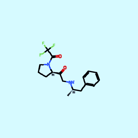 C[C@@H](Cc1ccccc1)NCC(=O)[C@H]1CCCN1C(=O)C(F)(F)F